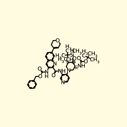 C[C@H]1CN(c2ccncc2NC(=O)c2nc3cc(C4=CCOCC4)ccc3cc2NC(=O)OCc2ccccc2)C[C@@H](NC(=O)OC(C)(C)C)[C@@H]1O[SiH](C)C(C)(C)C